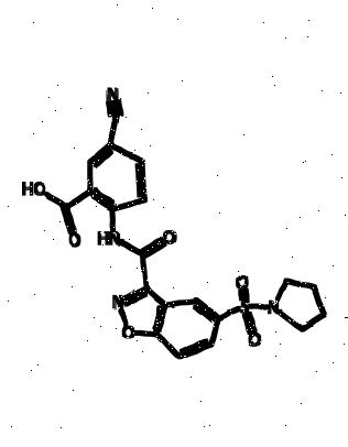 N#Cc1ccc(NC(=O)c2noc3ccc(S(=O)(=O)N4CCCC4)cc23)c(C(=O)O)c1